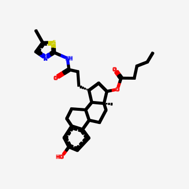 CCCCC(=O)OC1C[C@@H](CCC(=O)Nc2ncc(C)s2)C2C3CCc4cc(O)ccc4C3CC[C@]12C